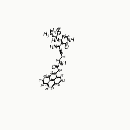 CC[C@H](Nc1nc[nH]c(=O)c1C(=N)C#CCCNC(=O)Cc1cc2cccc3ccc4cccc1c4c32)OC